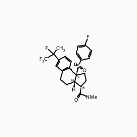 CNC(=O)[C@@H]1CC[C@@]2(S(=O)(=O)c3ccc(F)cc3)c3ccc(C(C)(F)C(F)(F)F)cc3CC[C@@H]12